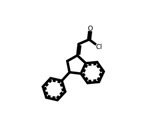 O=C(Cl)/C=C1/CC(c2ccccc2)c2ccccc21